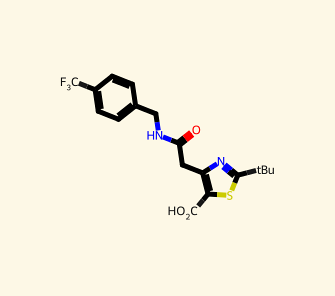 CC(C)(C)c1nc(CC(=O)NCc2ccc(C(F)(F)F)cc2)c(C(=O)O)s1